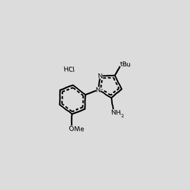 COc1cccc(-n2nc(C(C)(C)C)cc2N)c1.Cl